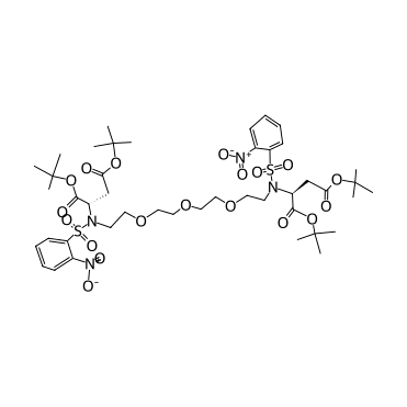 CC(C)(C)OC(=O)C[C@@H](C(=O)OC(C)(C)C)N(CCOCCOCCOCCN([C@@H](CC(=O)OC(C)(C)C)C(=O)OC(C)(C)C)S(=O)(=O)c1ccccc1[N+](=O)[O-])S(=O)(=O)c1ccccc1[N+](=O)[O-]